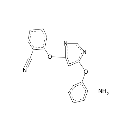 N#Cc1ccccc1Oc1cc(Oc2ccccc2N)ncn1